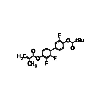 C=C(C)C(=O)Oc1ccc(-c2ccc(OC(=O)C(C)(C)C)c(F)c2)c(F)c1F